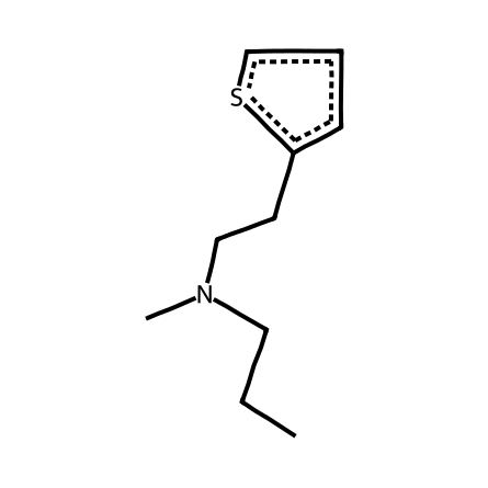 CCCN(C)CCc1cccs1